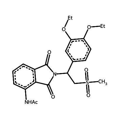 CCOc1ccc(C(CS(C)(=O)=O)N2C(=O)c3cccc(NC(C)=O)c3C2=O)cc1OCC